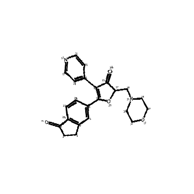 O=C1CCc2cc(C3=C(c4ccncc4)C(=O)C(CN4CCOCC4)O3)ccc21